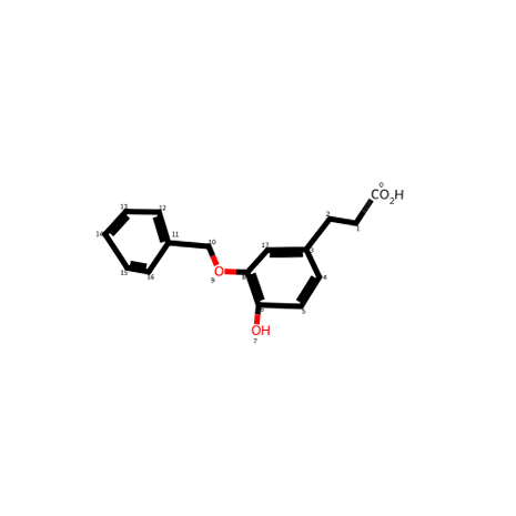 O=C(O)CCc1ccc(O)c(OCc2ccccc2)c1